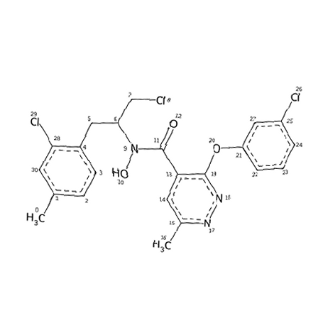 Cc1ccc(CC(CCl)N(O)C(=O)c2cc(C)nnc2Oc2cccc(Cl)c2)c(Cl)c1